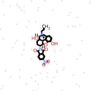 C=CCN1CC[C@]23c4c5ccc(O)c4O[C@H]2[C@H](N2C(=O)c4ccc([N+](=O)[O-])cc4C2=O)CC[C@@]3(O)[C@H]1C5